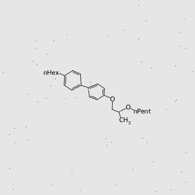 CCCCCCc1ccc(-c2ccc(OCC(C)OCCCCC)cc2)cc1